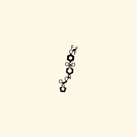 O=C(CON=C1CCN(S(=O)(=O)c2ccc(OC(F)(F)F)cc2)CC1)N1CCCC1